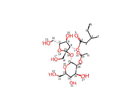 CCC(C)CC(=O)O[C@H]1[C@H](O)[C@@H](CO)O[C@@]1(CO)O[C@H]1O[C@H](CO)[C@@H](O)[C@H](O)[C@H]1OC(C)=O